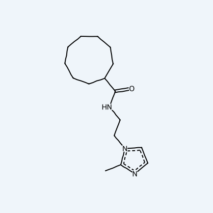 Cc1nccn1CCNC(=O)C1CCCCCCCC1